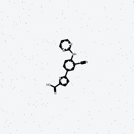 N#Cc1cc(-c2ccc(C(=O)O)s2)ccc1Nc1ncccn1